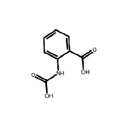 O=C(O)Nc1ccccc1C(=O)O